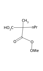 CCCC(C)(C(=O)O)C(=O)OOC